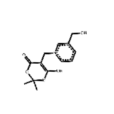 CC1(C)OC(=O)C(C[n+]2cccc(CO)c2)=C(O)O1